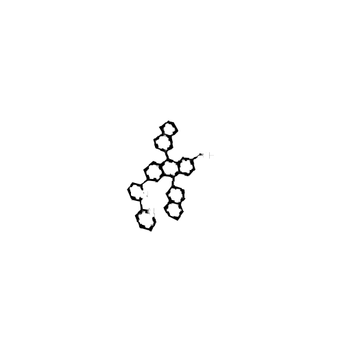 CCc1ccc2c(-c3ccc4ccccc4c3)c3cc(-c4cccc(-c5ccccn5)n4)ccc3c(-c3ccc4ccccc4c3)c2c1